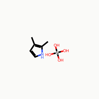 Cc1cc[nH]c1C.O[Si](O)(O)O